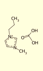 CCC[n+]1ccn(C)c1.O=C(O)O